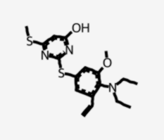 C=Cc1cc(Sc2nc(O)cc(SC)n2)cc(OC)c1N(CC)CC